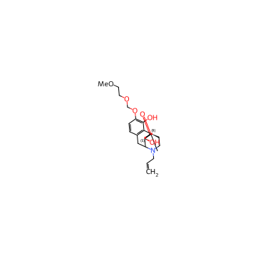 C=CCN1CC[C@]23CC(=O)CC[C@@]2(O)C1Cc1ccc(OCOCCOC)c(O)c13